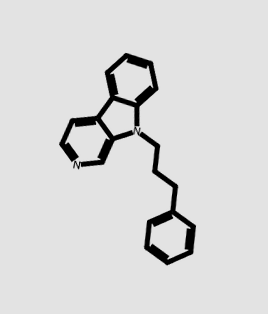 c1ccc(CCCn2c3ccccc3c3ccncc32)cc1